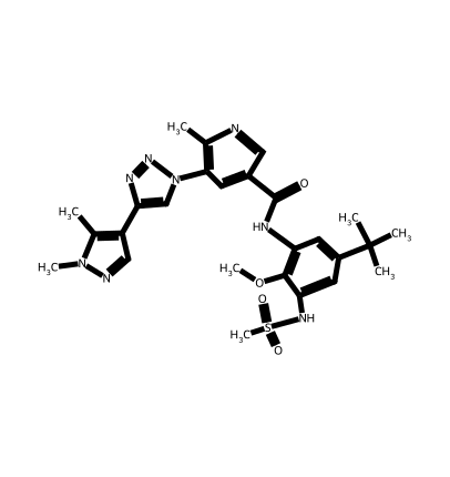 COc1c(NC(=O)c2cnc(C)c(-n3cc(-c4cnn(C)c4C)nn3)c2)cc(C(C)(C)C)cc1NS(C)(=O)=O